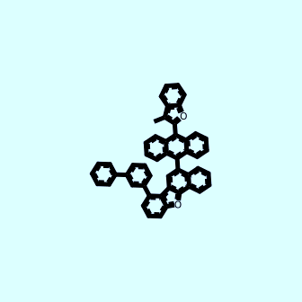 Cc1c(-c2c3ccccc3c(-c3cc4c(oc5cccc(-c6cccc(-c7ccccc7)c6)c54)c4ccccc34)c3ccccc23)oc2ccccc12